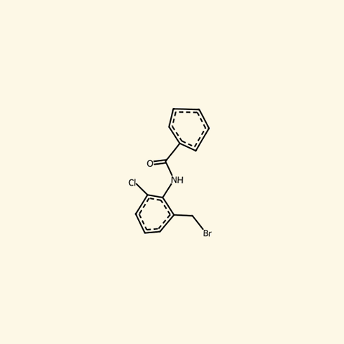 O=C(Nc1c(Cl)cccc1CBr)c1ccccc1